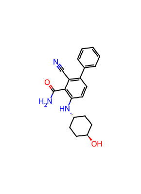 N#Cc1c(-c2ccccc2)ccc(N[C@H]2CC[C@H](O)CC2)c1C(N)=O